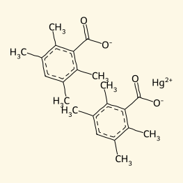 Cc1cc(C)c(C)c(C(=O)[O-])c1C.Cc1cc(C)c(C)c(C(=O)[O-])c1C.[Hg+2]